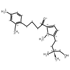 Cc1ccc(CCCC(=O)c2ccc(CC[C@@](C)(N)CO)n2C)c(C)c1